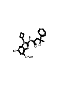 COc1cc(C#N)cc2c1nc(NC(=O)CC(C)(O)c1ccccc1)n2C1CCC1